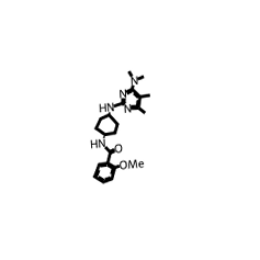 COc1ccccc1C(=O)N[C@H]1CC[C@@H](Nc2nc(C)c(C)c(N(C)C)n2)CC1